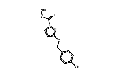 CC(C)(C)OC(=O)n1ccc(OCc2ccc(C#N)cc2)n1